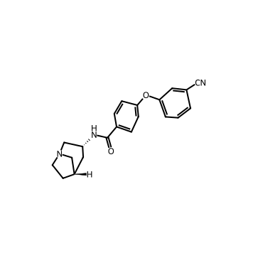 N#Cc1cccc(Oc2ccc(C(=O)N[C@@H]3C[C@@H]4CCN(C4)C3)cc2)c1